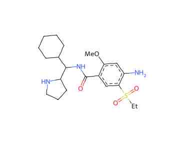 CCS(=O)(=O)c1cc(C(=O)NC(C2CCCCC2)C2CCCN2)c(OC)cc1N